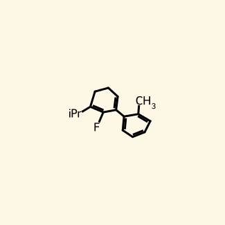 Cc1ccccc1C1=CCCC(C(C)C)=C1F